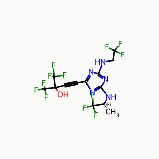 C[C@@H](Nc1nc(C#CC(O)(C(F)(F)F)C(F)(F)F)nc(NCC(F)(F)F)n1)C(F)(F)F